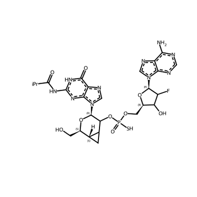 CC(C)C(=O)Nc1nc2c(ncn2[C@@H]2O[C@H](CO)[C@H]3CC3C2OP(=O)(S)OC[C@H]2O[C@@H](n3cnc4c(N)ncnc43)C(F)C2O)c(=O)[nH]1